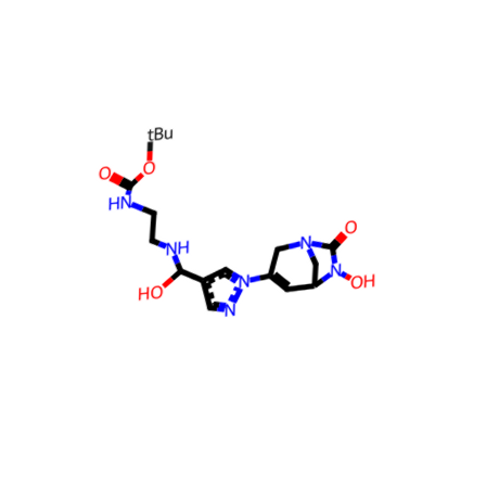 CC(C)(C)OC(=O)NCCNC(O)c1cnn(C2=CC3CN(C2)C(=O)N3O)c1